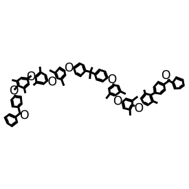 Cc1cc(Oc2ccc(C(C)(C)c3ccc(Oc4cc(C)c(Oc5cc(C)c(Oc6cc(C)c(-c7ccc(C(=O)c8ccccc8)cc7)c(C)c6)c(C)c5)c(C)c4)cc3)cc2)cc(C)c1Oc1cc(C)c(Oc2cc(C)c(Oc3ccc(C(=O)c4ccccc4)cc3)c(C)c2)c(C)c1